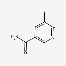 Cc1[c]ncc(C(N)=O)c1